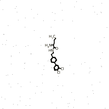 CCCCC(N)C(=O)NCCc1ccc(-c2ccc(Cl)c(Cl)c2)cc1